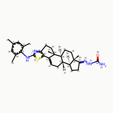 Cc1cc(C)c(Nc2nc3c(s2)C2=CC[C@@H]4[C@H](CC[C@]5(C)/C(=N/NC(N)=O)CC[C@@H]45)[C@@]2(C)CC3)c(C)c1